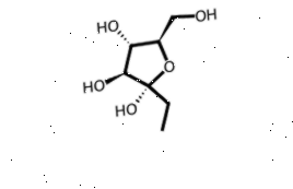 CC[C@]1(O)O[C@H](CO)[C@@H](O)[C@@H]1O